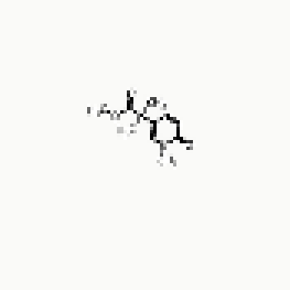 COC(=O)C(C)(C)c1ccc(=O)n(C)c1